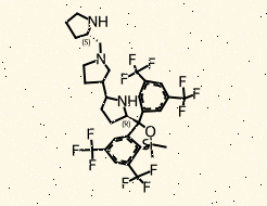 C[Si](C)(C)OC(c1cc(C(F)(F)F)cc(C(F)(F)F)c1)(c1cc(C(F)(F)F)cc(C(F)(F)F)c1)[C@H]1CCC(C2CCN(C[C@@H]3CCCN3)C2)N1